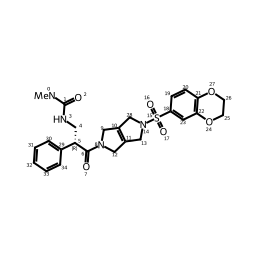 CNC(=O)NC[C@H](C(=O)N1CC2=C(C1)CN(S(=O)(=O)c1ccc3c(c1)OCCO3)C2)c1ccccc1